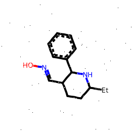 CCC1CCC(C=NO)C(c2ccccc2)N1